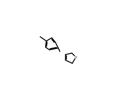 C1=CCOC1.Cc1ccc(C)cc1